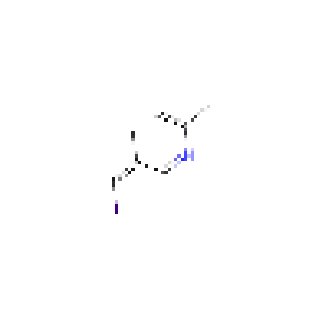 C=C(C)/N=C\C(C)=C/I